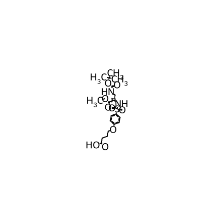 COC(=O)[C@@H](CNC(=O)OC(C)(C)C)NS(=O)(=O)c1ccc(OCCCC(=O)O)cc1